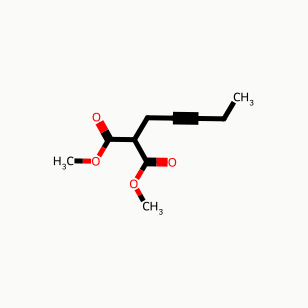 CCC#CCC(C(=O)OC)C(=O)OC